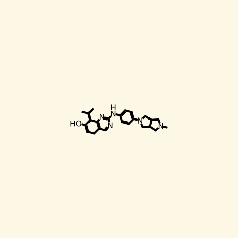 CC(C)C1C(O)=CCc2cnc(Nc3ccc(N4CC5CN(C)CC5C4)cc3)nc21